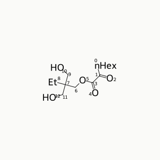 CCCCCCC(=O)C(=O)OCC(CC)(CO)CO